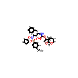 COc1ccc(S(=O)(=O)N(C[C@@H](O)[C@H](Cc2ccccc2)NC(=O)O[C@@H]2CO[C@@H]3OCCC[C@@H]32)OC2CCCC2)cc1